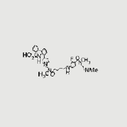 CNCCCN(C)C(=O)c1ccc(NCCCCCC(=O)N(C)CCN2CCC(c3cccc(-c4ccccc4)c3NC(=O)O)CC2)cc1F